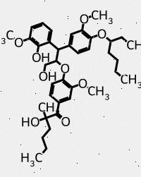 CCCCC(CC)Oc1ccc(C(c2cccc(OC)c2O)C(CO)Oc2ccc(C(=O)C(C)(O)CCCC)cc2OC)cc1OC